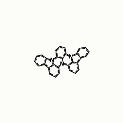 c1ccc2c(c1)c1cccc3c1n2c1cccc2c1-n3c1cccc3c4ccccc4n2c31